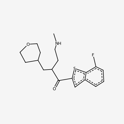 CNCCC(CC1CCOCC1)C(=O)c1cc2cccc(F)c2s1